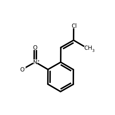 C/C(Cl)=C\c1ccccc1[N+](=O)[O-]